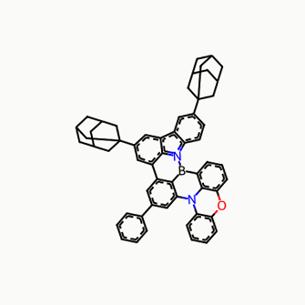 c1ccc(-c2cc3c4c(c2)N2c5ccccc5Oc5cccc(c52)B4n2c4ccc(C56CC7CC(CC(C7)C5)C6)cc4c4cc(C56CC7CC(CC(C7)C5)C6)cc-3c42)cc1